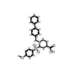 COc1ccc(S(=O)(=O)C2CC(C(=O)O)CCN2Cc2ccc(-c3ccccc3)cc2)cc1